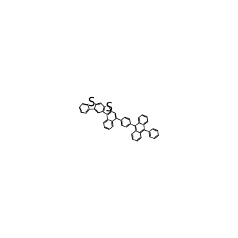 c1ccc(-c2c3ccccc3c(-c3ccc(-c4cc5sc6cc7sc8ccccc8c7cc6c5c5ccccc45)cc3)c3ccccc23)cc1